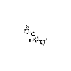 CC[C@H]1CN([C@@H]2CC[C@H](c3nc(-c4cncc(F)c4)nn3C(C)C)C2)CCO1